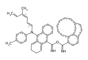 C=C/C(C)=C\C=C\N(c1ccc(C)cc1)c1c2c(c(C(=N)OC(=N)c3ccc4ccc5ccccccc3c4c5)c3ccccc13)=CCCC=2